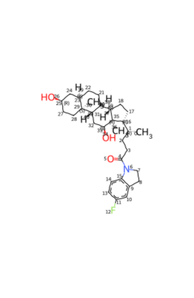 C[C@H](CCC(=O)N1CCc2cc(F)ccc21)[C@H]1CC[C@H]2[C@@H]3CC[C@@H]4C[C@H](O)CC[C@]4(C)[C@H]3C[C@H](O)[C@]12C